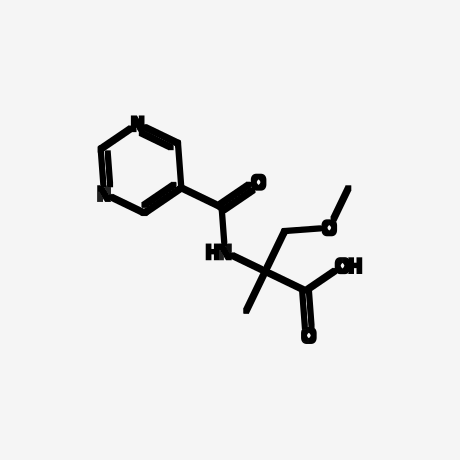 COCC(C)(NC(=O)c1cncnc1)C(=O)O